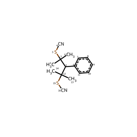 CC(C)(SC#N)C(c1ccccc1)C(C)(C)SC#N